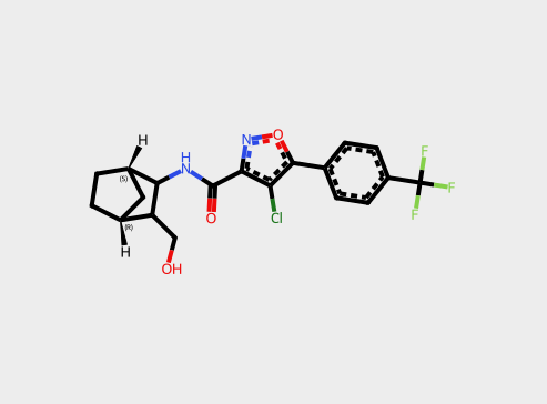 O=C(NC1C(CO)[C@@H]2CC[C@H]1C2)c1noc(-c2ccc(C(F)(F)F)cc2)c1Cl